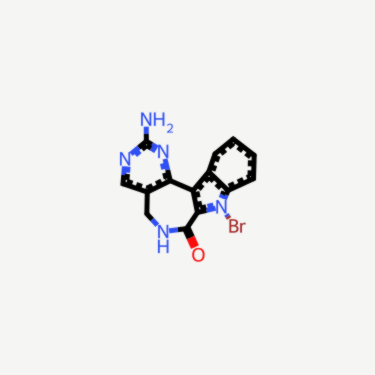 Nc1ncc2c(n1)-c1c(n(Br)c3ccccc13)C(=O)NC2